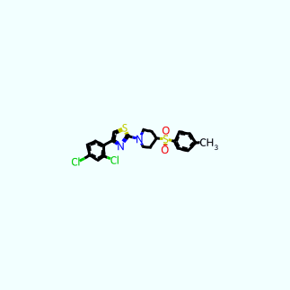 Cc1ccc(S(=O)(=O)C2CCN(c3nc(-c4ccc(Cl)cc4Cl)cs3)CC2)cc1